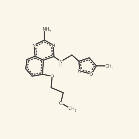 COCCOc1cccc2nc(N)nc(NCc3cc(C)on3)c12